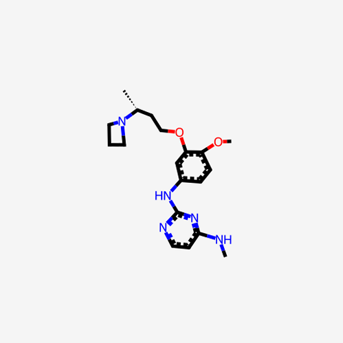 CNc1ccnc(Nc2ccc(OC)c(OCC[C@@H](C)N3CCC3)c2)n1